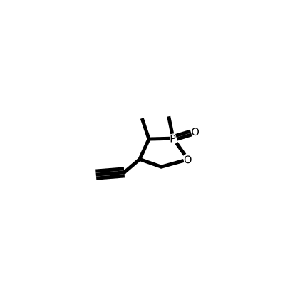 C#CC1COP(C)(=O)C1C